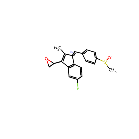 CC1=C(C2CO2)c2cc(F)ccc2/C1=C\c1ccc([S+](C)[O-])cc1